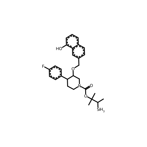 CC([SiH3])C(C)(C)OC(=O)N1CCC(c2ccc(F)cc2)C(OCc2ccc3cccc(O)c3c2)C1